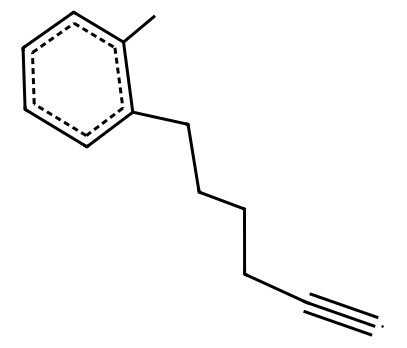 [C]#CCCCCc1ccccc1C